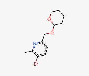 Cc1nc(COC2CCCCO2)ccc1Br